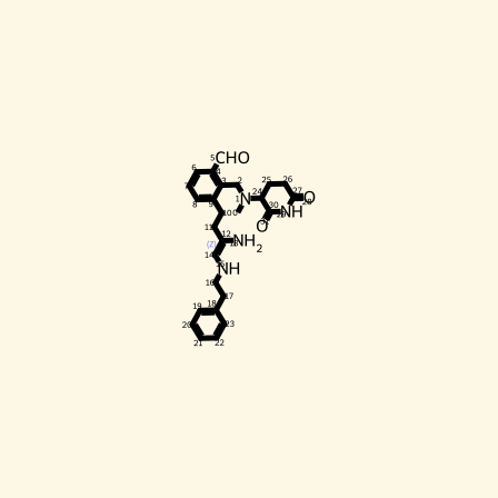 CN(Cc1c(C=O)cccc1CC/C(N)=C/NCCc1ccccc1)C1CCC(=O)NC1=O